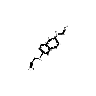 C#CCOc1ccc2cc(OC=O)ccc2c1